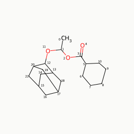 CC(OC(=O)C1CCCCC1)OC1C2CC3CC(C2)CC1C3